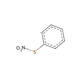 O=[N+]([O-])Sc1[c]cccc1